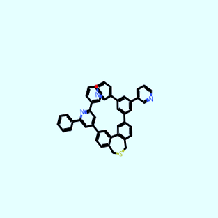 c1ccc(-c2cc(-c3ccc4c(c3)-c3cc(-c5cc(-c6cccnc6)cc(-c6cccnc6)c5)ccc3CSC4)cc(-c3ccccc3)n2)cc1